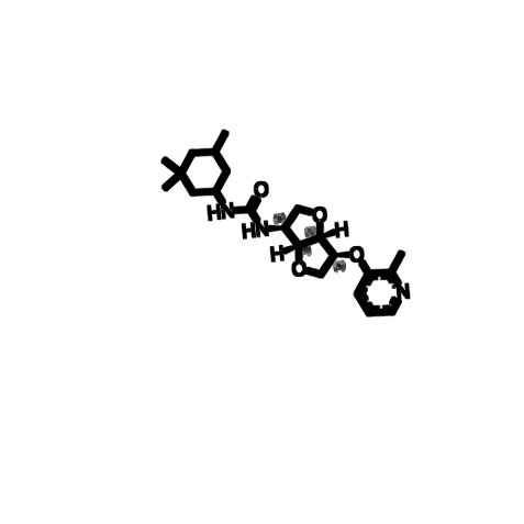 Cc1ncccc1O[C@H]1CO[C@H]2[C@@H]1OC[C@@H]2NC(=O)NC1CC(C)CC(C)(C)C1